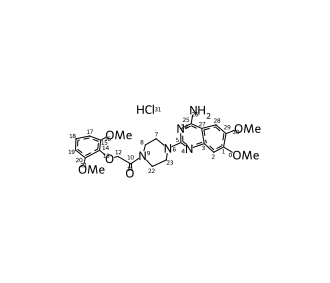 COc1cc2nc(N3CCN(C(=O)COc4c(OC)cccc4OC)CC3)nc(N)c2cc1OC.Cl